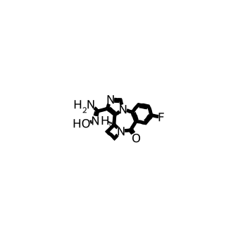 NC(=NO)c1ncn2c1[C@@H]1CCN1C(=O)c1cc(F)ccc1-2